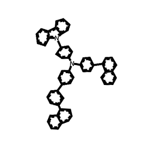 c1cc(-c2ccc(N(c3ccc(-c4cccc5ccccc45)cc3)c3ccc(-n4c5ccccc5c5ccccc54)cc3)cc2)cc(-c2cccc3ccccc23)c1